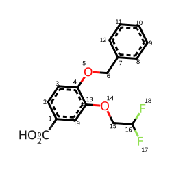 O=C(O)c1ccc(OCc2ccccc2)c(OCC(F)F)c1